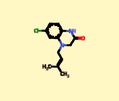 CC(C)=CCN1CC(=O)Nc2ccc(Cl)cc21